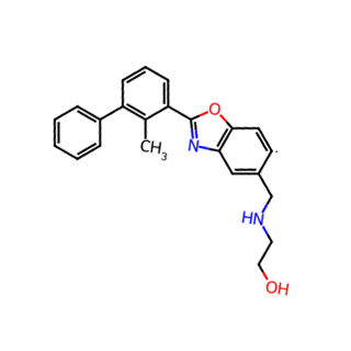 Cc1c(-c2ccccc2)cccc1-c1nc2cc(CNCCO)[c]cc2o1